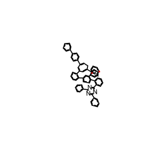 C1=C(c2ccc(-c3ccccc3)cc2)C=C(c2ccccc2-c2ccc(-c3ccccc3-c3nc(-c4ccccc4)nc(-c4ccccc4)n3)c(-c3ccccn3)c2)C=C(c2ccccc2)C1